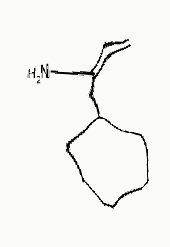 C=C(N)C1CCCCC1